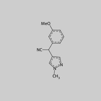 COc1cccc(C(C#N)c2cnn(C)c2)c1